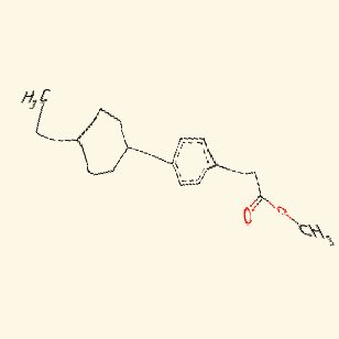 CCC1CCC(c2ccc(CC(=O)OC)cc2)CC1